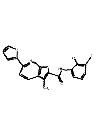 Nc1c(C(=O)Nc2cccc(Cl)c2Cl)sc2nc(-c3cccs3)ccc12